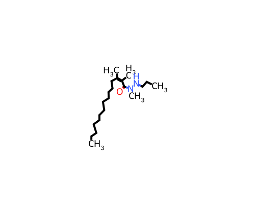 CCCCCCCCCCCCC(C)=C(C)C(=O)N(C)NCCC